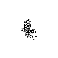 CC1C=C(F)C(n2nnn(C(=O)N(c3ccc(C(=O)O)cc3Oc3ccccc3)C3CCCC3)c2=O)=C(F)C1